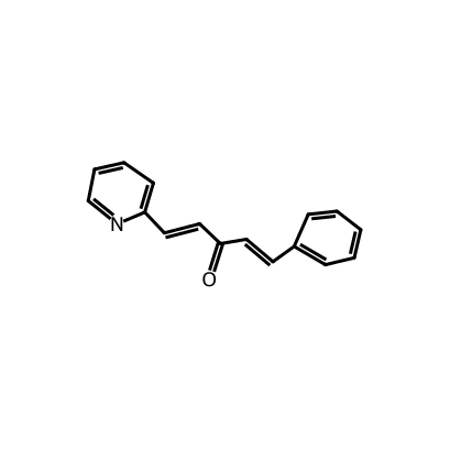 O=C(/C=C/c1ccccc1)/C=C/c1ccccn1